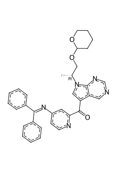 C[C@H](COC1CCCCO1)n1cc(C(=O)c2cc(N=C(c3ccccc3)c3ccccc3)ccn2)c2cncnc21